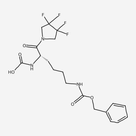 O=C(O)N[C@@H](CCCCNC(=O)OCc1ccccc1)C(=O)N1CC(F)(F)C(F)(F)C1